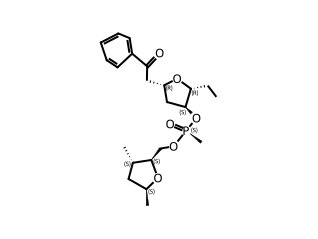 CC[C@H]1O[C@@H](CC(=O)c2ccccc2)C[C@@H]1O[P@@](C)(=O)OC[C@H]1O[C@@H](C)C[C@@H]1C